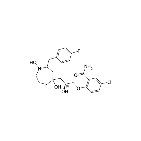 NC(=O)c1cc(Cl)ccc1OC[C@@H](O)CC1(O)CCCN(O)C(Cc2ccc(F)cc2)C1